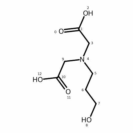 O=C(O)CN(CCCO)CC(=O)O